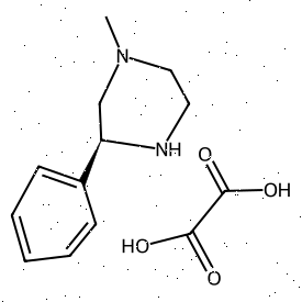 CN1CCN[C@@H](c2ccccc2)C1.O=C(O)C(=O)O